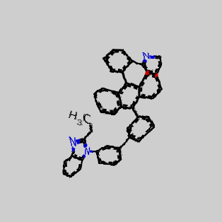 CCc1nc2ccccc2n1-c1cccc(-c2cccc(-c3c4ccccc4c(-c4ccccc4-c4ccccn4)c4ccccc34)c2)c1